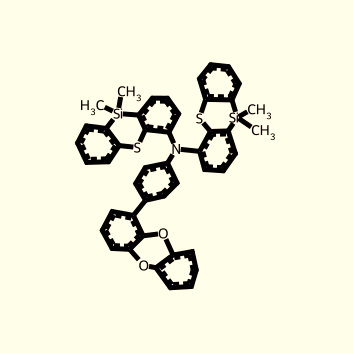 C[Si]1(C)c2ccccc2Sc2c(N(c3ccc(-c4cccc5c4Oc4ccccc4O5)cc3)c3cccc4c3Sc3ccccc3[Si]4(C)C)cccc21